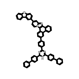 c1ccc(-c2ccc(C3=NC(c4ccc(-c5ccc6c(c5)c5ccccc5c5nc7cc(-c8ccc9oc%10ccccc%10c9c8)ccn7c65)cc4)=NC(c4ccc(-c5ccccc5)cc4)N3)cc2)cc1